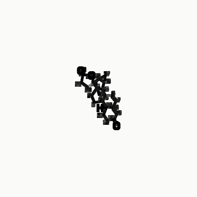 C[C@]12CCC3C(C=CC4=CC(=O)CC[C@@H]43)C1C1CC1[C@@]21CCC(=O)O1